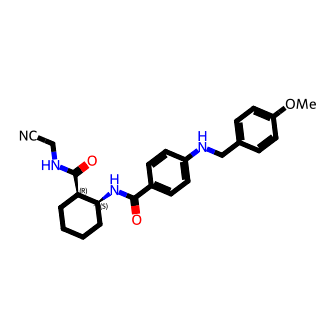 COc1ccc(CNc2ccc(C(=O)N[C@H]3CCCC[C@H]3C(=O)NCC#N)cc2)cc1